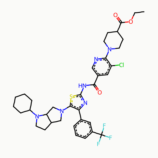 CCOC(=O)C1CCN(c2ncc(C(=O)Nc3nc(-c4cccc(C(F)(F)F)c4)c(N4CC5CCN(C6CCCCC6)C5C4)s3)cc2Cl)CC1